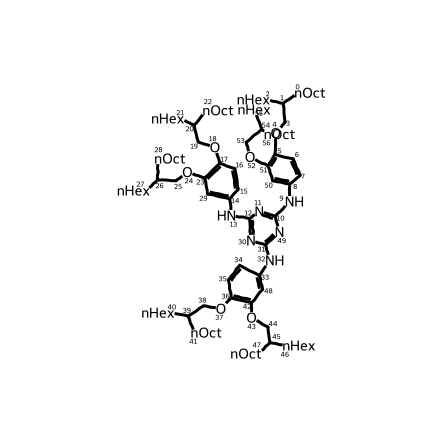 CCCCCCCCC(CCCCCC)COc1ccc(Nc2nc(Nc3ccc(OCC(CCCCCC)CCCCCCCC)c(OCC(CCCCCC)CCCCCCCC)c3)nc(Nc3ccc(OCC(CCCCCC)CCCCCCCC)c(OCC(CCCCCC)CCCCCCCC)c3)n2)cc1OCC(CCCCCC)CCCCCCCC